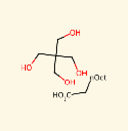 CCCCCCCCCC(=O)O.OCC(CO)(CO)CO